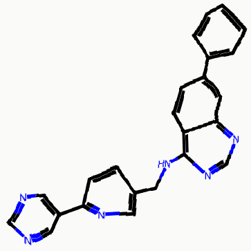 c1ccc(-c2ccc3c(NCc4ccc(-c5cncnc5)nc4)ncnc3c2)cc1